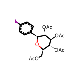 CC(=O)OC[C@H]1O[C@@H](c2ccc(I)cc2)[C@H](OC(C)=O)[C@@H](OC(C)=O)[C@@H]1OC(C)=O